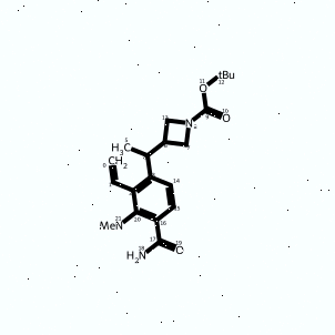 C=Cc1c(C(C)C2CN(C(=O)OC(C)(C)C)C2)ccc(C(N)=O)c1NC